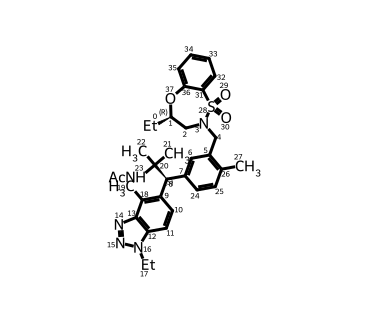 CC[C@@H]1CN(Cc2cc([C@@H](c3ccc4c(nnn4CC)c3C)C(C)(C)NC(C)=O)ccc2C)S(=O)(=O)c2ccccc2O1